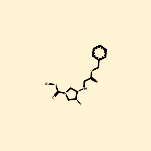 CC(C)(C)OC(=O)N1C[C@H](F)[C@H](NCC(=O)OCc2ccccc2)C1